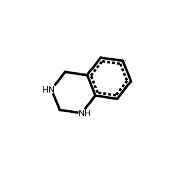 [c]1ccc2c(c1)CNCN2